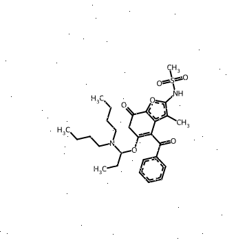 CCCCN(CCCC)C(CC)OC1=C(C(=O)c2ccccc2)c2c(oc(NS(C)(=O)=O)c2C)C(=O)C1